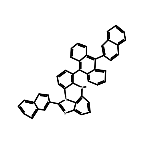 CN1c2c(-c3c4ccccc4c(-c4ccc5ccccc5c4)c4ccccc34)cccc2-n2c(-c3ccc4ccccc4c3)nc3cccc1c32